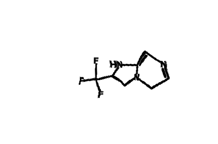 FC(F)(F)C1CN2CC=NC=C2N1